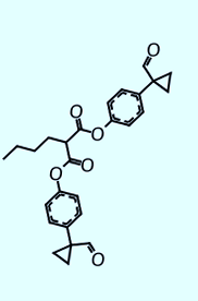 CCCCC(C(=O)Oc1ccc(C2(C=O)CC2)cc1)C(=O)Oc1ccc(C2(C=O)CC2)cc1